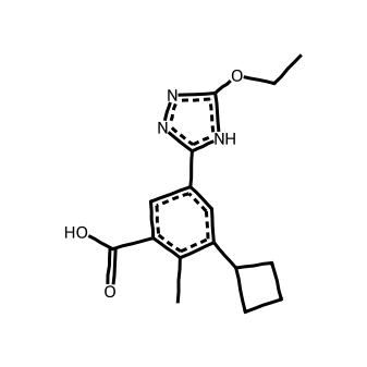 CCOc1nnc(-c2cc(C(=O)O)c(C)c(C3CCC3)c2)[nH]1